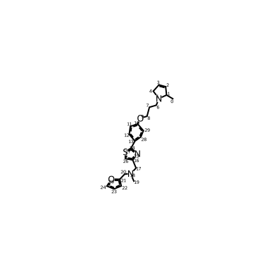 CC1C=CCN1CCCOc1ccc(-c2nc(CN(C)Cc3ccco3)cs2)cc1